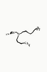 CCCCN(CC#N)CCC(C)C